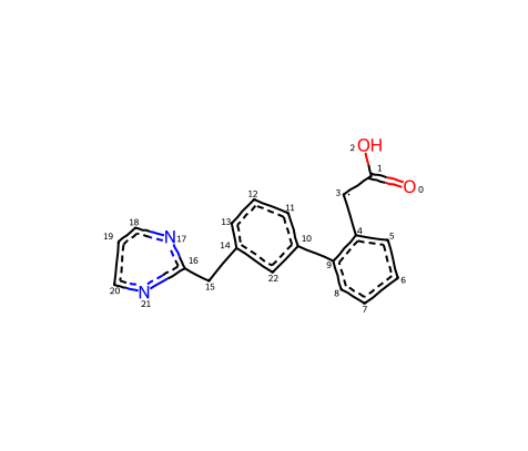 O=C(O)[CH]c1ccccc1-c1cccc(Cc2ncccn2)c1